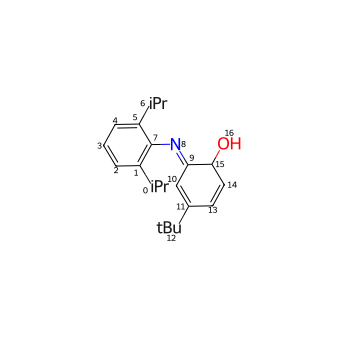 CC(C)c1cccc(C(C)C)c1N=C1C=C(C(C)(C)C)C=CC1O